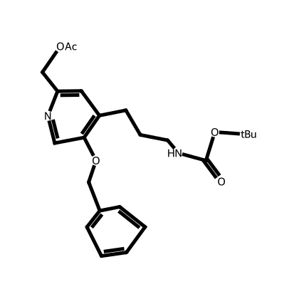 CC(=O)OCc1cc(CCCNC(=O)OC(C)(C)C)c(OCc2ccccc2)cn1